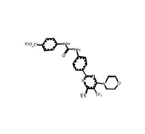 CCOC(=O)c1ccc(NC(=O)Nc2ccc(-c3nc(CC)c(C)c(N4CCOCC4)n3)cc2)cc1